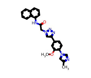 COc1cc(-c2cn(CC(=O)Nc3cccc4ccccc34)nn2)ccc1-n1cnc(C)c1